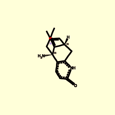 C/C=C1\[C@@H]2C=C(C)C[C@]1(N)c1ccc(=O)[nH]c1C2